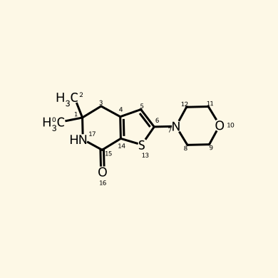 CC1(C)Cc2cc(N3CCOCC3)sc2C(=O)N1